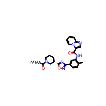 COC(=O)N1CCC[C@H](c2nc(-c3ccc(C)c(NC(=O)c4cnc5ccccn45)c3)no2)C1